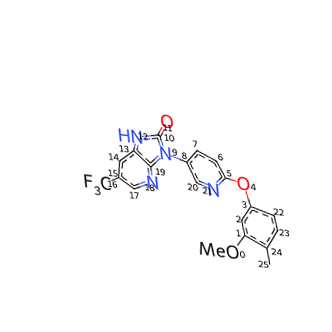 COc1cc(Oc2ccc(-n3c(=O)[nH]c4cc(C(F)(F)F)cnc43)cn2)ccc1C